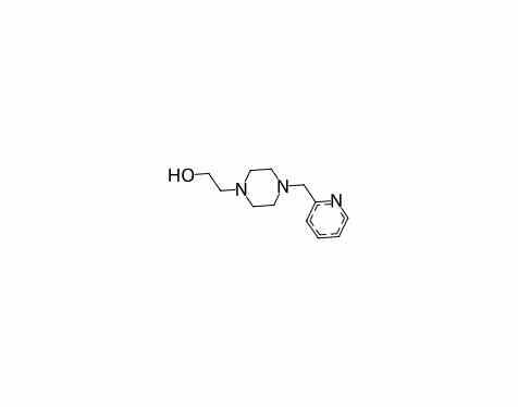 OCCN1CCN(Cc2ccccn2)CC1